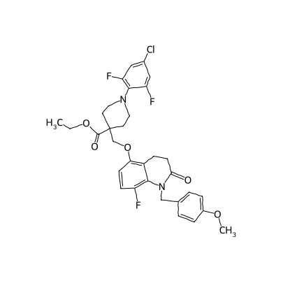 CCOC(=O)C1(COc2ccc(F)c3c2CCC(=O)N3Cc2ccc(OC)cc2)CCN(c2c(F)cc(Cl)cc2F)CC1